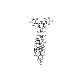 CC1C[C@H]2[C@@H]3CCC4=CC(=O)C=C[C@]4(C)C3=CC[C@]2(C)[C@@]1(O)C(=O)CN1CCN(c2cc(N3CCCC3)nc(N3CCCC3)n2)CC1